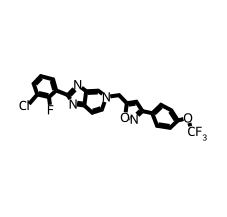 Fc1c(Cl)cccc1-c1nc2ccn(Cc3cc(-c4ccc(OC(F)(F)F)cc4)no3)cc-2n1